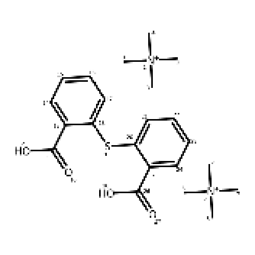 C[N+](C)(C)C.C[N+](C)(C)C.O=C(O)c1ccccc1Sc1ccccc1C(=O)O